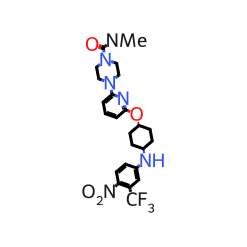 CNC(=O)N1CCN(c2cccc(O[C@H]3CC[C@H](Nc4ccc([N+](=O)[O-])c(C(F)(F)F)c4)CC3)n2)CC1